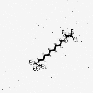 CC[Si](CC)(CC)CCCCCCCCCOC(F)=C(F)Cl